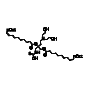 CCCCCCCC/C=C\CCCCCCCC(=O)OCC(CCN(CCO)CCO)(CNC(O)=S)OC(=O)CCCCCCC/C=C\CCCCCCCC